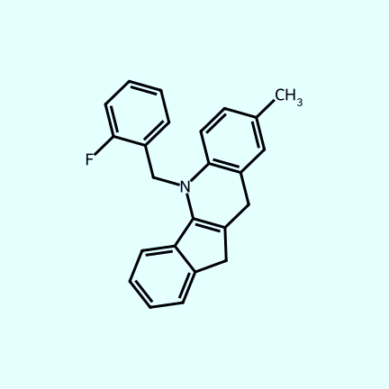 Cc1ccc2c(c1)CC1=C(c3ccccc3C1)N2Cc1ccccc1F